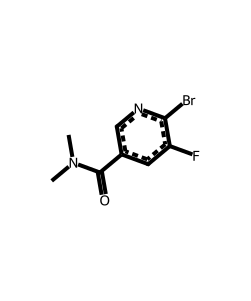 CN(C)C(=O)c1cnc(Br)c(F)c1